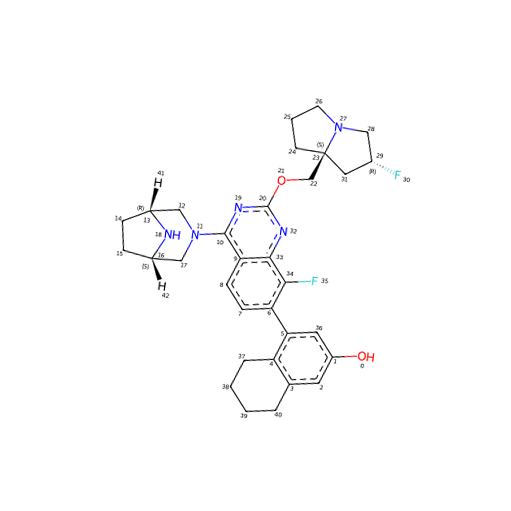 Oc1cc2c(c(-c3ccc4c(N5C[C@H]6CC[C@@H](C5)N6)nc(OC[C@@]56CCCN5C[C@H](F)C6)nc4c3F)c1)CCCC2